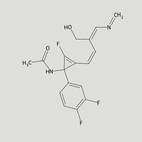 C=N/C=C(\C=C/C1=C(F)C1(NC(C)=O)c1ccc(F)c(F)c1)CO